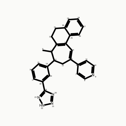 CC1C2=C(C=C(c3ccncc3)CC1c1cccc(-c3nn[nH]n3)c1)c1ccccc1CC2